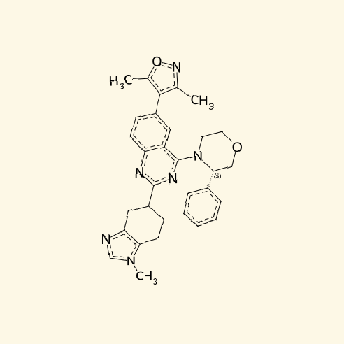 Cc1noc(C)c1-c1ccc2nc(C3CCc4c(ncn4C)C3)nc(N3CCOC[C@@H]3c3ccccc3)c2c1